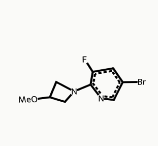 COC1CN(c2ncc(Br)cc2F)C1